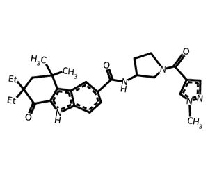 CCC1(CC)CC(C)(C)c2c([nH]c3ccc(C(=O)NC4CCN(C(=O)c5cnn(C)c5)C4)cc23)C1=O